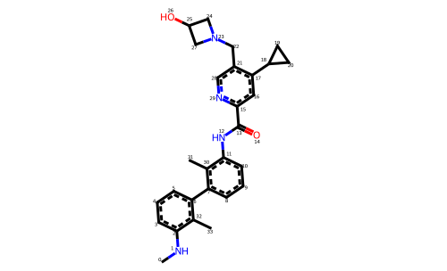 CNc1cccc(-c2cccc(NC(=O)c3cc(C4CC4)c(CN4CC(O)C4)cn3)c2C)c1C